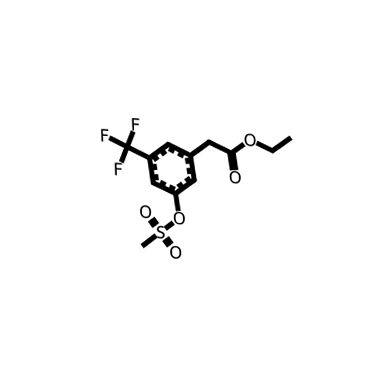 CCOC(=O)Cc1cc(OS(C)(=O)=O)cc(C(F)(F)F)c1